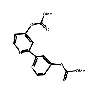 COC(=O)Oc1ccnc(-c2cc(OC(=O)OC)ccn2)c1